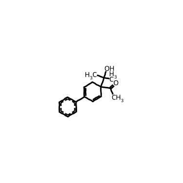 CC(=O)C1(C(C)(C)O)C=CC(c2ccccc2)=CC1